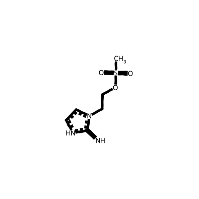 CS(=O)(=O)OCCn1cc[nH]c1=N